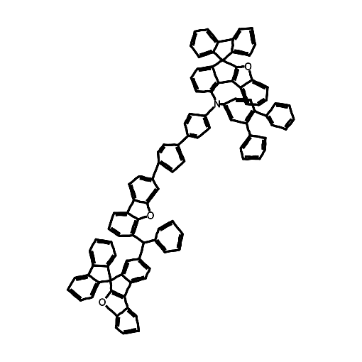 c1ccc(-c2ccc(N(c3ccc(-c4ccc(-c5ccc6c(c5)oc5c(C(c7ccccc7)c7ccc8c(c7)C7(c9ccccc9-c9ccccc97)c7oc9ccccc9c7-8)cccc56)cc4)cc3)c3cccc4c3-c3c(oc5ccccc35)C43c4ccccc4-c4ccccc43)cc2-c2ccccc2)cc1